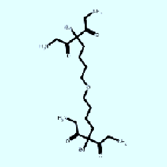 CCC(C)C(CCCCOCCCCC(C(=O)CN)(C(=O)CN)C(C)CC)(C(=O)CN)C(=O)CN